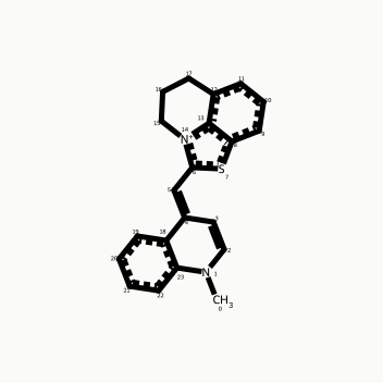 CN1C=C/C(=C\c2sc3cccc4c3[n+]2CCC4)c2ccccc21